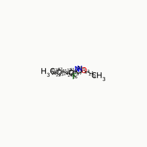 CCCCCOc1ccc(-c2ccc(CC[C@H]3CC[C@H](CC)CC3)cc2F)nn1